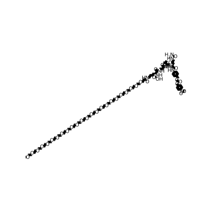 COCCOCCOCCOCCOCCOCCOCCOCCOCCOCCOCCOCCOCCOCCOCCOCCOCCOCCOCCOCCOCCOCCOCCOCCC(=O)NCCCC[C@H](NC(=O)O)C(=O)NCCC(=O)N[C@H](C(=O)N[C@@H](CCCNC(N)=O)C(=O)Nc1ccc(COC(=O)Oc2ccc([N+](=O)[O-])cc2)cc1)C(C)C